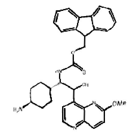 COc1ccc2nccc(C(O)C(NC(=O)OCC3c4ccccc4-c4ccccc43)[C@H]3CC[C@H](N)CC3)c2n1